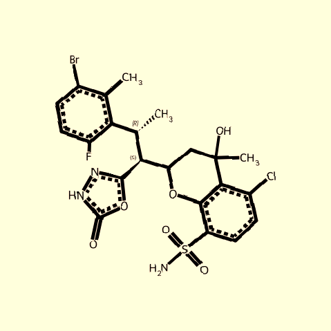 Cc1c(Br)ccc(F)c1[C@H](C)[C@H](c1n[nH]c(=O)o1)C1CC(C)(O)c2c(Cl)ccc(S(N)(=O)=O)c2O1